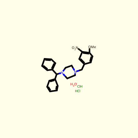 COc1ccc(CN2CCN(C(c3ccccc3)c3ccccc3)CC2)cc1[N+](=O)[O-].Cl.Cl.O